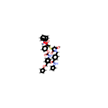 CN(C(=O)CCSC1CC(=O)N(CC2CCC(C(=O)NC3CCCC3)CC2)C1=O)C12CC3CC(C1)C(OO[C@@H]1CCCC(OC(=O)Nc4ccc(COC5CCCC5)cc4)C1)C(C3)C2